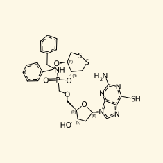 Nc1nc(S)c2ncn([C@H]3C[C@H](O)[C@@H](COCP(=O)(NCc4ccccc4)O[C@H]4CSSC[C@@H]4OCc4ccccc4)O3)c2n1